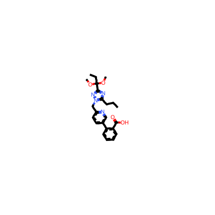 CCCc1nc(C(CC)(OC)OC)nn1Cc1ccc(-c2ccccc2C(=O)O)cn1